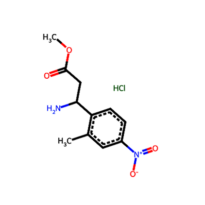 COC(=O)CC(N)c1ccc([N+](=O)[O-])cc1C.Cl